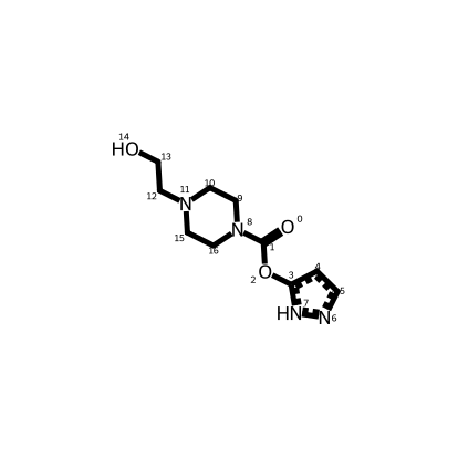 O=C(Oc1ccn[nH]1)N1CCN(CCO)CC1